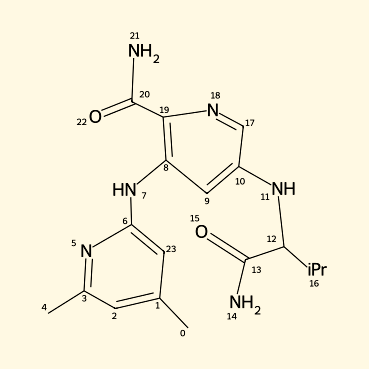 Cc1cc(C)nc(Nc2cc(NC(C(N)=O)C(C)C)cnc2C(N)=O)c1